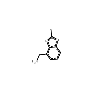 Cc1nc2c(CN)cccc2o1